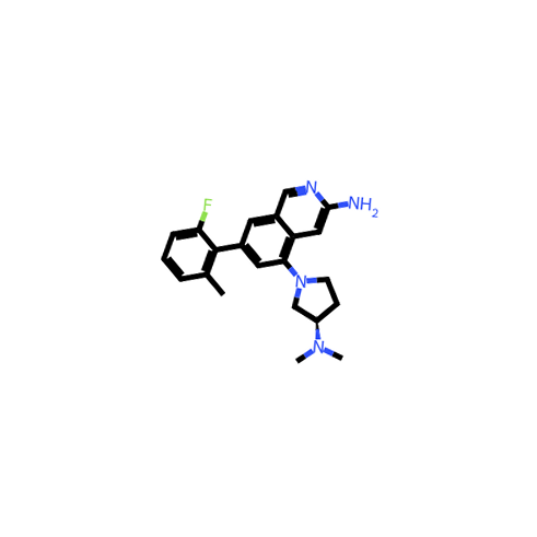 Cc1cccc(F)c1-c1cc(N2CC[C@@H](N(C)C)C2)c2cc(N)ncc2c1